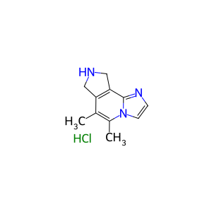 Cc1c2c(c3nccn3c1C)CNC2.Cl